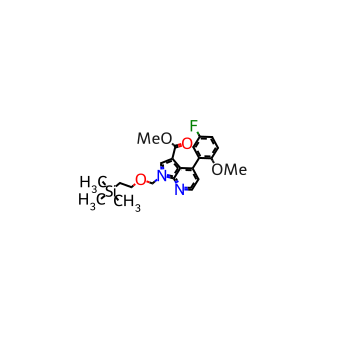 COC(=O)c1cn(COCC[Si](C)(C)C)c2nccc(-c3cc(F)ccc3OC)c12